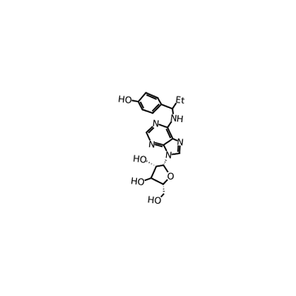 CCC(Nc1ncnc2c1ncn2[C@@H]1O[C@H](CO)C(O)[C@@H]1O)c1ccc(O)cc1